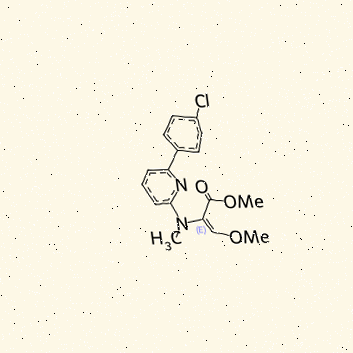 CO/C=C(\C(=O)OC)N(C)c1cccc(-c2ccc(Cl)cc2)n1